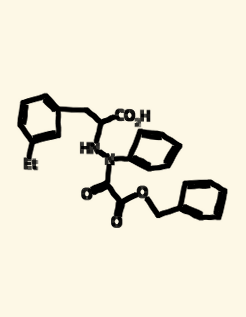 CCc1cccc(CC(NN(C(=O)C(=O)OCc2ccccc2)c2ccccc2)C(=O)O)c1